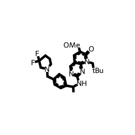 COc1cc2cnc(NC(C)c3ccc(CN4CCCC(F)(F)C4)cc3)nc2n(CC(C)(C)C)c1=O